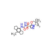 Cc1c2c(c(NC(=O)NS(=O)(=O)c3cnn4c3OCC(C)(C)C4)c3c1CCC3)CCC2